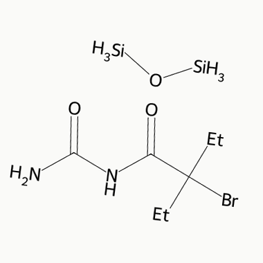 CCC(Br)(CC)C(=O)NC(N)=O.[SiH3]O[SiH3]